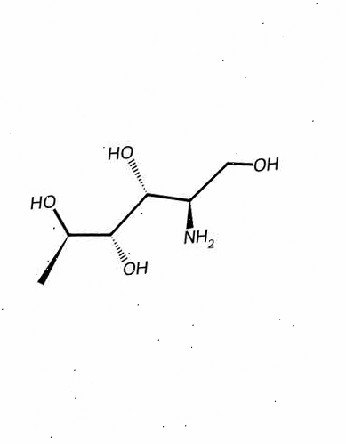 C[C@@H](O)[C@@H](O)[C@H](O)[C@H](N)CO